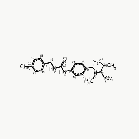 C=C(C)C(CCCC)N(C)Cc1ccc(NC(=O)NCc2ccc(Cl)cc2)cc1